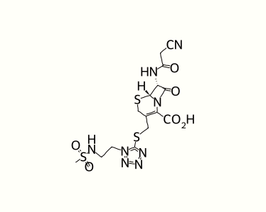 CS(=O)(=O)NCCn1nnnc1SCC1=C(C(=O)O)N2C(=O)[C@@H](NC(=O)CC#N)[C@H]2SC1